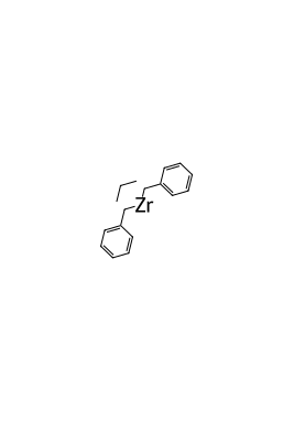 CCC.c1ccc([CH2][Zr][CH2]c2ccccc2)cc1